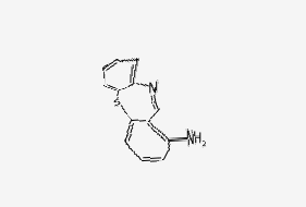 Nc1cccc2c1C=Nc1ccccc1S2